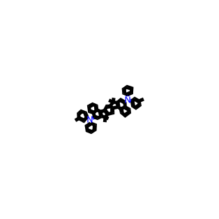 Cc1cccc(N(c2ccccc2)c2cc3c(c4ccccc24)-c2cc4c(cc2C3(C)C)-c2c(cc(N(c3ccccc3)c3cccc(C)c3)c3ccccc23)C4(C)C)c1